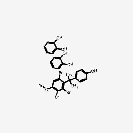 CC(C)(c1ccc(O)cc1)c1c(Br)cc(OBr)c(Br)c1Br.Oc1ccccc1O.Oc1ccccc1O